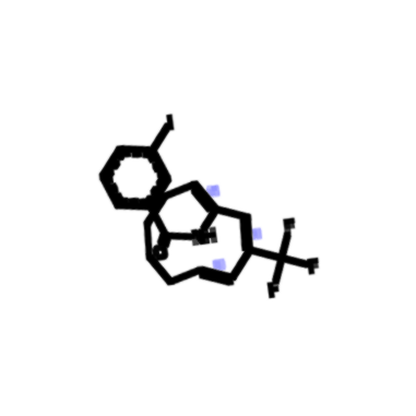 O=C(NC1=C\CCCC/C=C/C(C(F)(F)F)=C\1)c1cccc(I)c1